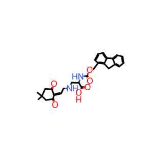 CC1(C)CC(=O)C(=CCNCC(NC(=O)OCc2cccc3c2Cc2ccccc2-3)C(=O)O)C(=O)C1